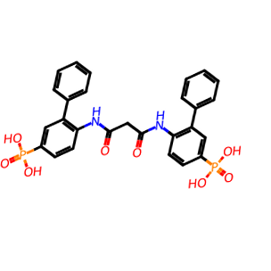 O=C(CC(=O)Nc1ccc(P(=O)(O)O)cc1-c1ccccc1)Nc1ccc(P(=O)(O)O)cc1-c1ccccc1